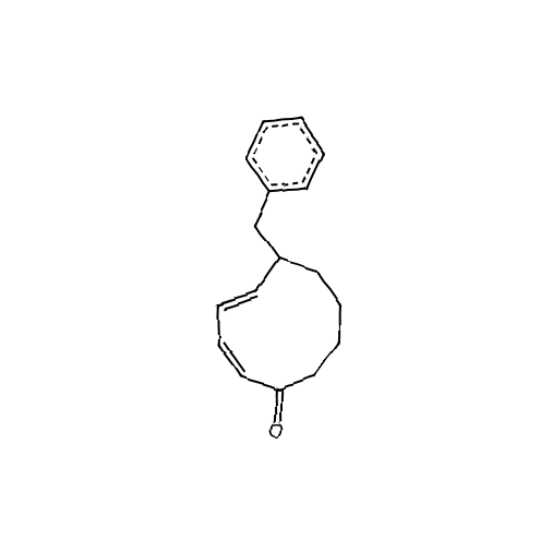 O=C1/C=C\C=C\C(Cc2ccccc2)CCCC1